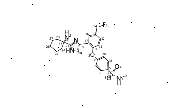 CNS(=O)(=O)c1ccc(Oc2ccc(CF)cc2-c2c[nH]c(C3(N)CCCCC3)n2)cc1